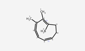 B/C1=C(/C)C(C)=C=C/C=C\CC1